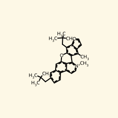 Cc1c2c(c(CC(C)(C)C)c3occc13)Oc1cc3cc(CC(C)(C)C)ccc3c3cc[n+](C)c-2c13